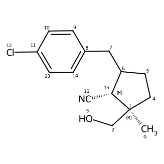 C[C@@]1(CO)CCC(Cc2ccc(Cl)cc2)[C@H]1C#N